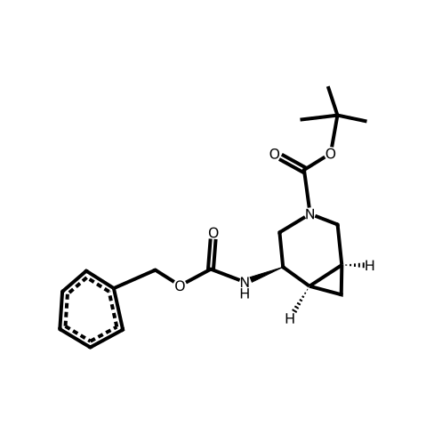 CC(C)(C)OC(=O)N1C[C@H]2C[C@H]2[C@@H](NC(=O)OCc2ccccc2)C1